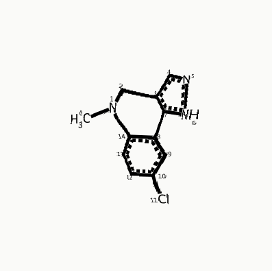 CN1Cc2cn[nH]c2-c2cc(Cl)ccc21